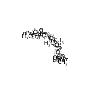 CCCC(C)(CC)c1cccc(N2C(=O)c3ccc(Oc4ccc(C(C)(C)c5ccc(Oc6ccc7c(c6)C(=O)N(C(C)(CC)CCC)C7=O)cc5)cc4)cc3C2=O)c1